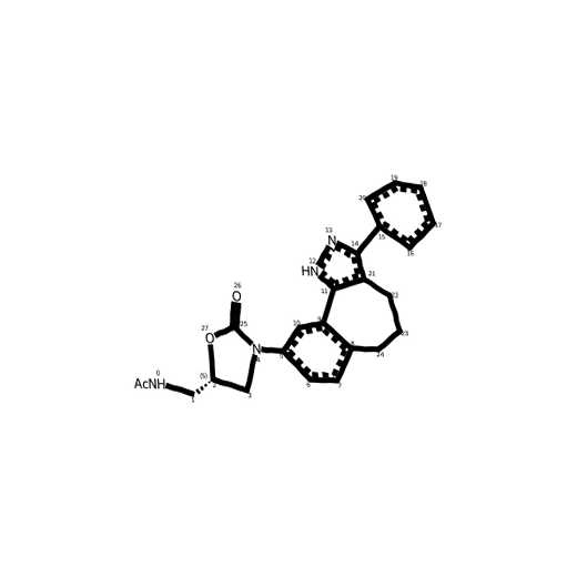 CC(=O)NC[C@H]1CN(c2ccc3c(c2)-c2[nH]nc(-c4ccccc4)c2CCC3)C(=O)O1